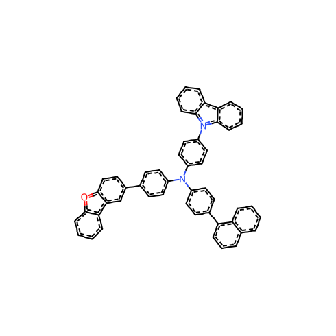 c1ccc2c(-c3ccc(N(c4ccc(-c5ccc6oc7ccccc7c6c5)cc4)c4ccc(-n5c6ccccc6c6ccccc65)cc4)cc3)cccc2c1